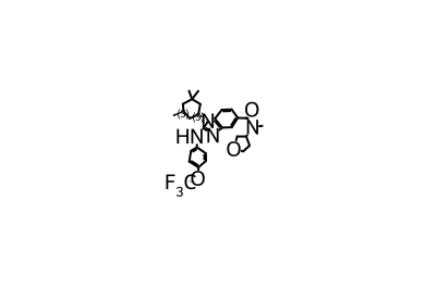 C[C@@H]1C[C@H](n2c(Nc3ccc(OC(F)(F)F)cc3)nc3cc(C(=O)N(C)C4CCOC4)ccc32)CC(C)(C)C1